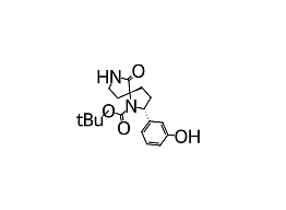 CC(C)(C)OC(=O)N1[C@@H](c2cccc(O)c2)CC[C@]12CCNC2=O